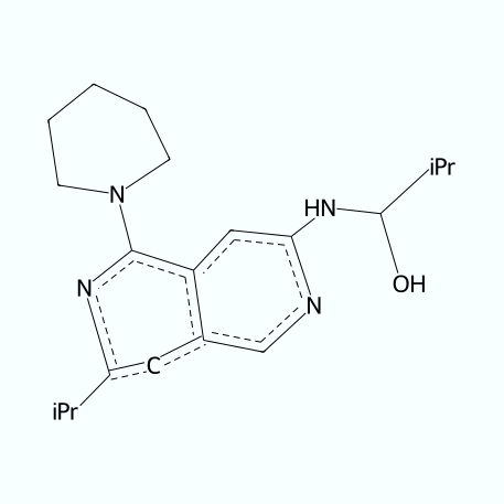 CC(C)c1cc2cnc(NC(O)C(C)C)cc2c(N2CCCCC2)n1